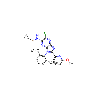 CCOc1cccc(-c2nc3nc(Cl)c(NSC4CC4)nc3n2-c2c(OC)cccc2OC)n1